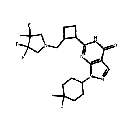 O=c1[nH]c(C2CCC2CN2CC(F)(F)C(F)(F)C2)nc2c1cnn2C1CCC(F)(F)CC1